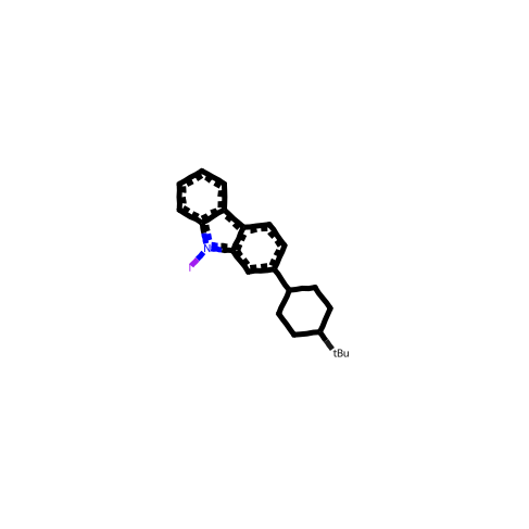 CC(C)(C)C1CCC(c2ccc3c4ccccc4n(I)c3c2)CC1